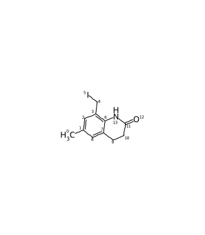 Cc1cc(CI)c2c(c1)CCC(=O)N2